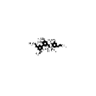 CCCc1cc(OC)c(OC(CC)c2cc(OC)c(O)c(-c3cc(CCC)cc(OC)c3O)c2)c(OC)c1